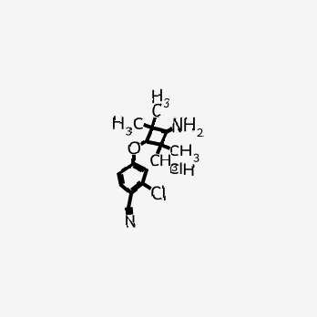 CC1(C)C(N)C(C)(C)C1Oc1ccc(C#N)c(Cl)c1.Cl